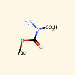 CCCCOC(=O)N(N)C(=O)O